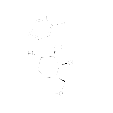 OC[C@H]1OC[C@H](Nc2cc(Cl)ncn2)[C@@H](O)[C@H]1O